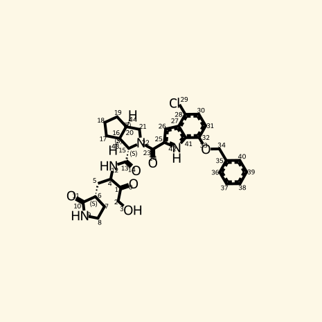 O=C(CO)C(C[C@@H]1CCNC1=O)NC(=O)[C@@H]1[C@H]2CCC[C@H]2CN1C(=O)c1cc2c(Cl)ccc(OCc3ccccc3)c2[nH]1